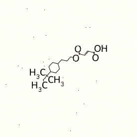 CCC(C)(C)C1CCC(CCCOC(=O)/C=C/C(=O)O)CC1